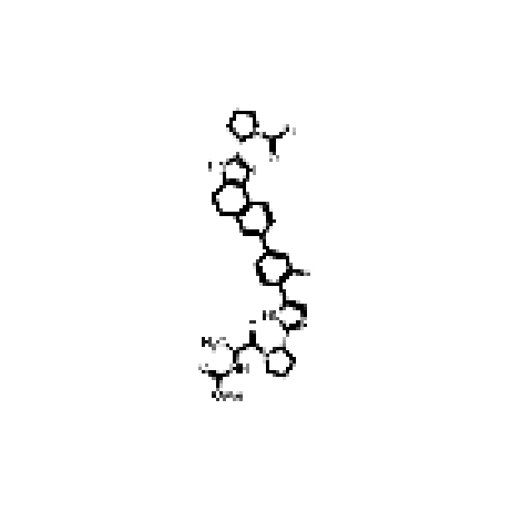 CCC(=O)N1CCC[C@H]1c1nc2c([nH]1)CCc1cc(-c3ccc(-c4cnc([C@@H]5CCCN5C(=O)[C@H](C)NC(=O)OC)[nH]4)c(F)c3)ccc1-2